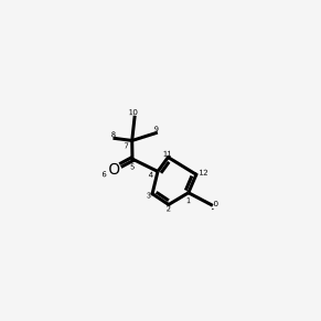 [CH2]c1ccc(C(=O)C(C)(C)C)cc1